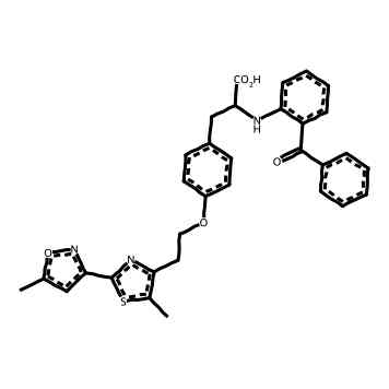 Cc1cc(-c2nc(CCOc3ccc(CC(Nc4ccccc4C(=O)c4ccccc4)C(=O)O)cc3)c(C)s2)no1